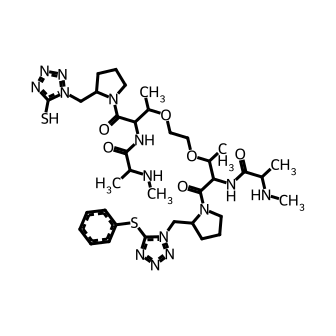 CNC(C)C(=O)NC(C(=O)N1CCCC1Cn1nnnc1S)C(C)OCCOC(C)C(NC(=O)C(C)NC)C(=O)N1CCCC1Cn1nnnc1Sc1ccccc1